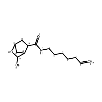 C=CCCCCCNC(=O)C1CC2CC1C(O)O2